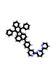 c1ccc(-c2c3c(c(-c4ccccc4)c4ccccc24)-c2ccc(-c4ccc(-c5ccnc(-c6cccc(-c7ccccn7)n6)c5)cc4)c4cccc-3c24)cc1